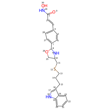 O=C(/C=C/c1ccc(C2NC(CSCCCc3c[nH]c4ccccc34)CO2)cc1)NO